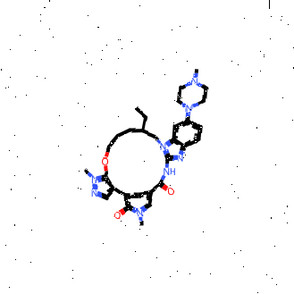 CCC1CCCOc2c(cnn2C)-c2cc(cn(C)c2=O)C(=O)Nc2nc3ccc(N4CCN(C)CC4)cc3n2C1